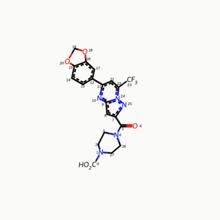 O=C(O)N1CCN(C(=O)c2cc3nc(-c4ccc5c(c4)OCO5)cc(C(F)(F)F)n3n2)CC1